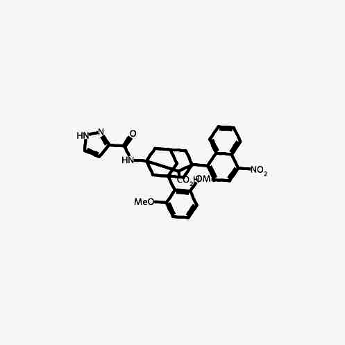 COc1cccc(OC)c1C12CC3CC(NC(=O)c4cc[nH]n4)(C1)C(C(=O)O)C(c1ccc([N+](=O)[O-])c4ccccc14)(C3)C2